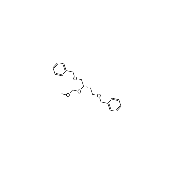 COCO[C@@H](CCOCc1ccccc1)COCc1ccccc1